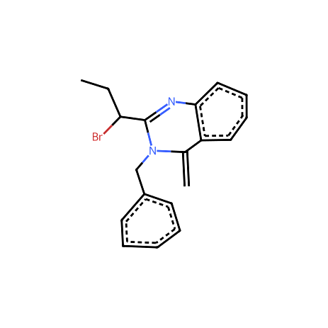 C=C1c2ccccc2N=C(C(Br)CC)N1Cc1ccccc1